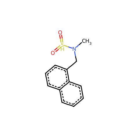 CN(Cc1cccc2ccccc12)[SH](=O)=O